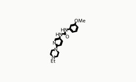 CCN1CCN(c2ccc(NC(=O)Nc3cccc(OC)c3)cn2)CC1